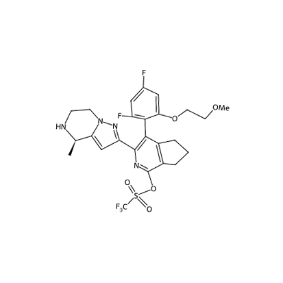 COCCOc1cc(F)cc(F)c1-c1c(-c2cc3n(n2)CCN[C@@H]3C)nc(OS(=O)(=O)C(F)(F)F)c2c1CCC2